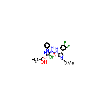 COCCN1C[C@@H](NC(=O)Nc2c(Br)c(OC[C@@H](C)O)nn2-c2ccccc2)[C@H](c2ccc(F)c(F)c2)C1